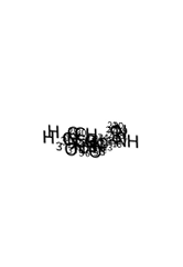 CN(C(=O)N1CCC(S(=O)(=O)N2CCC(c3c[nH]c4ncccc34)CC2)C1)C(C)(C)C